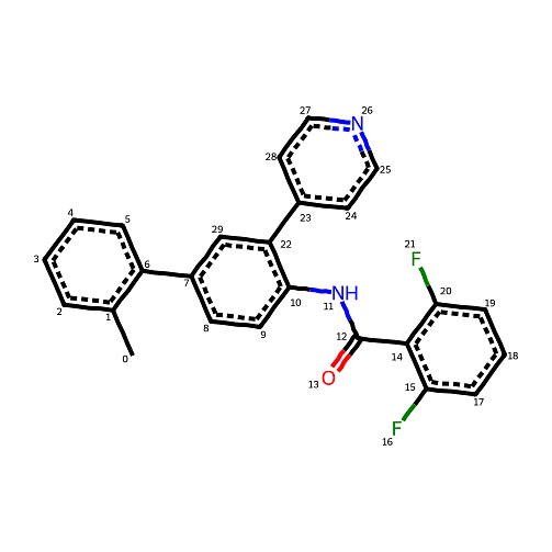 Cc1ccccc1-c1ccc(NC(=O)c2c(F)cccc2F)c(-c2ccncc2)c1